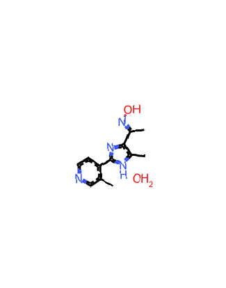 CC(=NO)c1nc(-c2ccncc2C)[nH]c1C.O